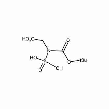 CC(C)(C)OC(=O)N(CC(=O)O)P(=O)(O)O